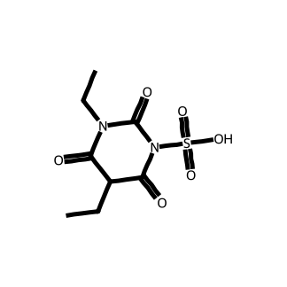 CCC1C(=O)N(CC)C(=O)N(S(=O)(=O)O)C1=O